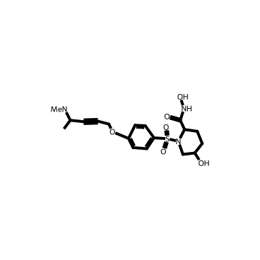 CNC(C)C#CCOc1ccc(S(=O)(=O)N2CC(O)CCC2C(=O)NO)cc1